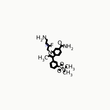 Cc1c(-c2cccc(S(=O)(=O)N(C)C)c2)c2ccc(C(N)=O)cc2n1C/C(F)=C/CN